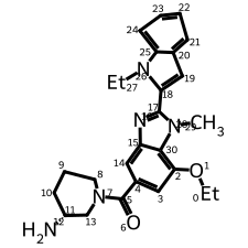 CCOc1cc(C(=O)N2CCC[C@@H](N)C2)cc2nc(-c3cc4ccccc4n3CC)n(C)c12